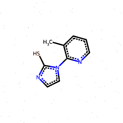 Cc1cccnc1-n1ccnc1S